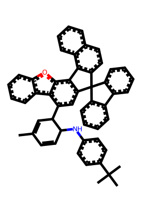 CC1=CC(c2cc3c(c4oc5ccccc5c24)-c2c(ccc4ccccc24)C32c3ccccc3-c3ccccc32)C(Nc2ccc(C(C)(C)C)cc2)C=C1